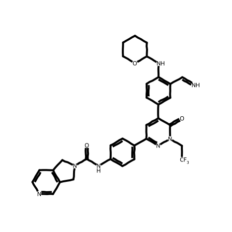 N=Cc1cc(-c2cc(-c3ccc(NC(=O)N4Cc5ccncc5C4)cc3)nn(CC(F)(F)F)c2=O)ccc1NC1CCCCO1